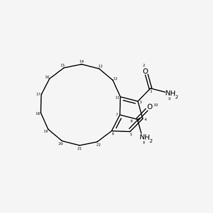 NC(=O)c1ccc2c(C(N)=O)c1CCCCCCCCCCC2